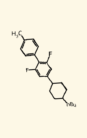 CCCCC1CCC(c2cc(F)c(-c3ccc(C)cc3)c(F)c2)CC1